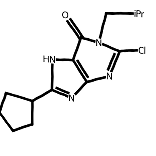 CC(C)Cn1c(Cl)nc2nc(C3CCCC3)[nH]c2c1=O